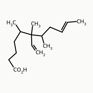 C=CC(C)(C(C)CC=CC)C(C)CCCC(=O)O